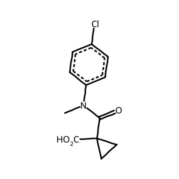 CN(C(=O)C1(C(=O)O)CC1)c1ccc(Cl)cc1